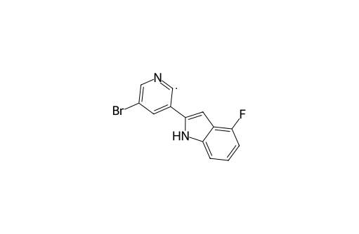 Fc1cccc2[nH]c(-c3[c]ncc(Br)c3)cc12